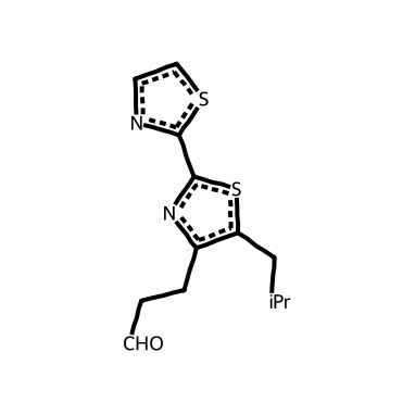 CC(C)Cc1sc(-c2nccs2)nc1CCC=O